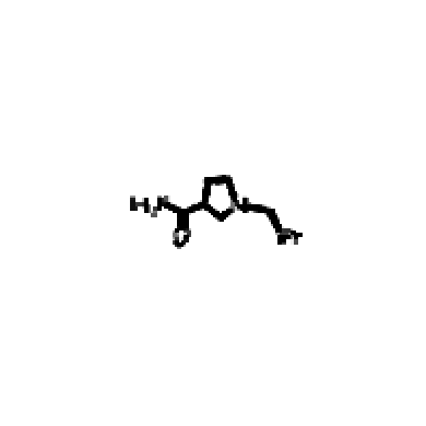 CC(C)CN1CCC(C(N)=O)C1